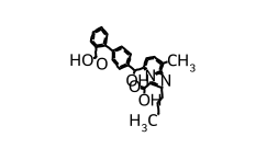 CCCCc1nc2c(C)ccc(C(O)c3ccc(-c4ccccc4C(=O)O)cc3)n2c1C(=O)O